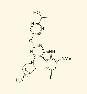 CNc1cc(F)cc2c1[nH]c1nc(Oc3cnc(C(C)O)nc3)nc(N3CC4CC3C[C@@H]4N)c12